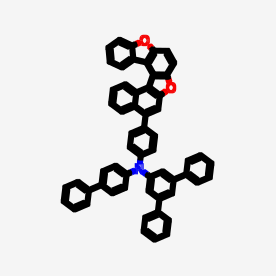 c1ccc(-c2ccc(N(c3ccc(-c4cc5oc6ccc7oc8ccccc8c7c6c5c5ccccc45)cc3)c3cc(-c4ccccc4)cc(-c4ccccc4)c3)cc2)cc1